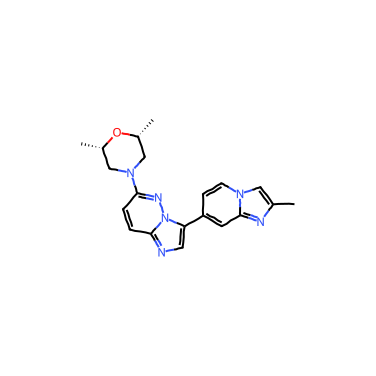 Cc1cn2ccc(-c3cnc4ccc(N5C[C@@H](C)O[C@@H](C)C5)nn34)cc2n1